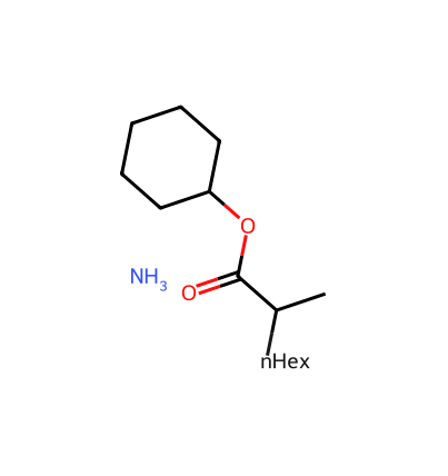 CCCCCCC(C)C(=O)OC1CCCCC1.N